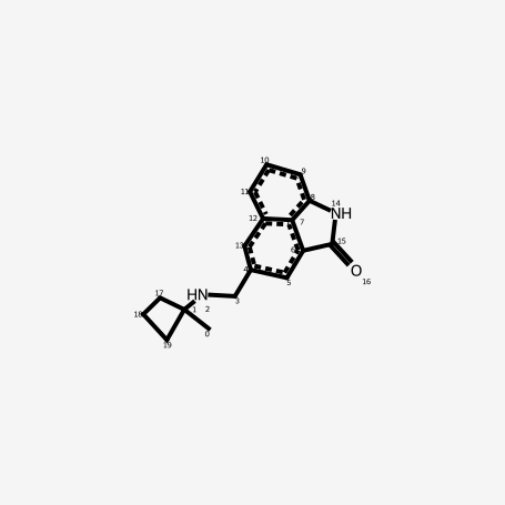 CC1(NCc2cc3c4c(cccc4c2)NC3=O)CCC1